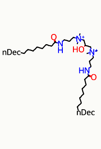 CCCCCCCCCCCCCCCCCC(=O)NCCC[N+](C)(C)CC(O)C[N+](C)(C)CCCNC(=O)CCCCCCCCCCCCCCCCC